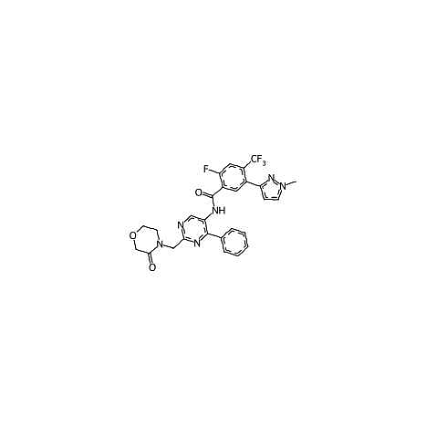 Cn1ccc(-c2cc(C(=O)Nc3cnc(CN4CCOCC4=O)nc3-c3ccccc3)c(F)cc2C(F)(F)F)n1